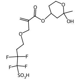 C=C(COCCC(F)(F)C(F)(F)S(=O)(=O)O)C(=O)OC1CCOC(C)(O)C1